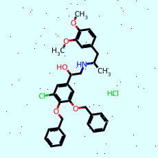 COc1ccc(CC(C)NCC(O)c2cc(Cl)c(OCc3ccccc3)c(OCc3ccccc3)c2)cc1OC.Cl